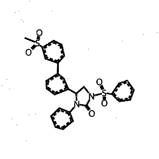 CS(=O)(=O)c1cccc(-c2cccc(C3CN(S(=O)(=O)c4ccccc4)C(=O)N3c3ccccc3)c2)c1